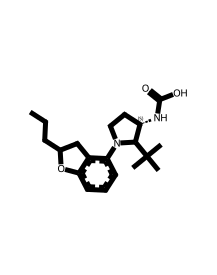 CCCC1Cc2c(cccc2N2CC[C@H](NC(=O)O)C2C(C)(C)C)O1